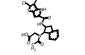 CC(=O)N(CC(=O)O)C1c2ccccc2CC1NC(=O)c1cc2sc(Cl)c(Cl)c2[nH]1